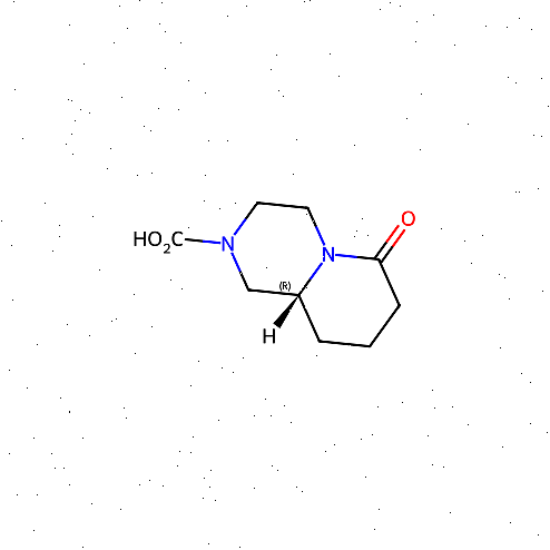 O=C(O)N1CCN2C(=O)CCC[C@@H]2C1